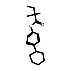 CCC(C)(C)C(=O)Oc1ccc(C2CCCCC2)cc1